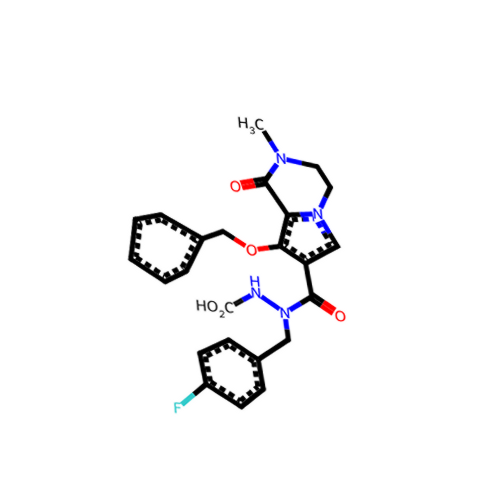 CN1CCn2cc(C(=O)N(Cc3ccc(F)cc3)NC(=O)O)c(OCc3ccccc3)c2C1=O